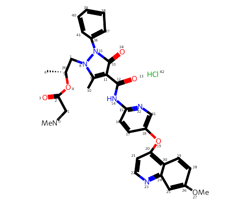 CNCC(=O)O[C@H](C)Cn1c(C)c(C(=O)Nc2ccc(Oc3ccnc4cc(OC)ccc34)cn2)c(=O)n1-c1ccccc1.Cl